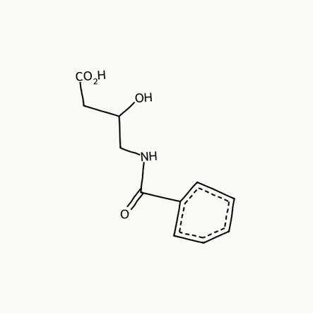 O=C(O)CC(O)CNC(=O)c1ccccc1